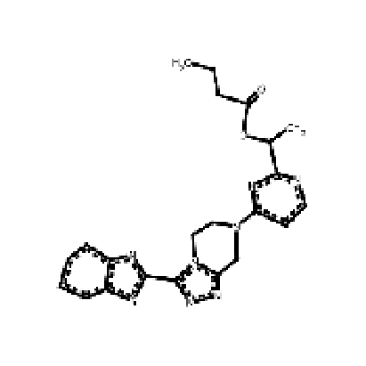 CCCC(=O)OC(C)c1nccc(N2CCn3c(nnc3-c3nc4ccccc4s3)C2)n1